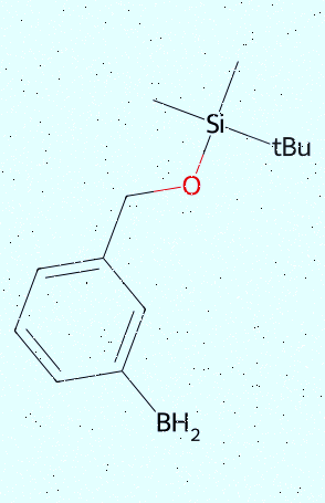 Bc1cccc(CO[Si](C)(C)C(C)(C)C)c1